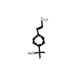 COC(C)(C)c1ccc(C=CC(=O)O)cc1